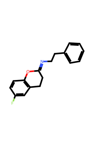 Fc1ccc2c(c1)CCC(=NCCc1ccccc1)O2